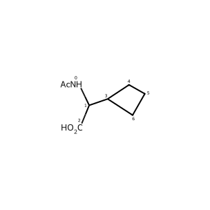 CC(=O)NC(C(=O)O)C1CCC1